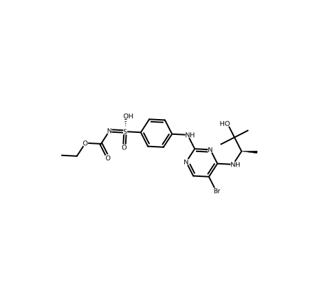 CCOC(=O)N=[S@@](=O)(O)c1ccc(Nc2ncc(Br)c(N[C@H](C)C(C)(C)O)n2)cc1